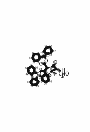 O=CNC1C(=O)N2C(C(=O)OC(c3ccccc3)c3ccccc3)=C(C[P+](c3ccccc3)(c3ccccc3)c3ccccc3)CS[C@H]12.[I-]